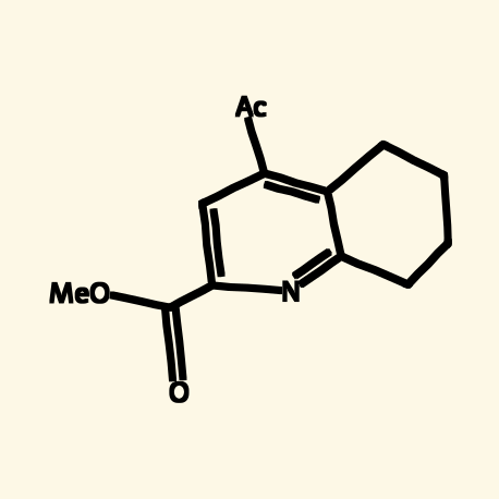 COC(=O)c1cc(C(C)=O)c2c(n1)CCCC2